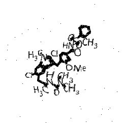 COc1cc(C(=O)NS(=O)(=O)c2ccccc2C)ccc1Cc1c(Cl)n(C)c2cc(Cl)c(CC(C)NC(=O)N(C)C)cc12